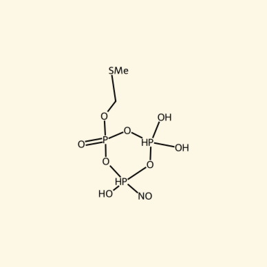 CSCOP1(=O)O[PH](O)(O)O[PH](O)(N=O)O1